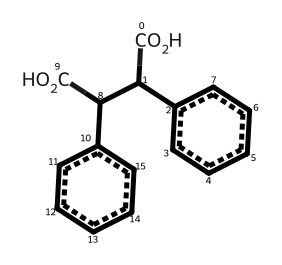 O=C(O)C(c1ccccc1)C(C(=O)O)c1ccccc1